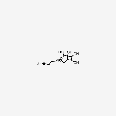 CC(=O)NCCCCOC(O)C1(O)C(O)C(O)C1CO